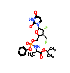 CC(C)OC(=O)[C@H](C)NP(=O)(OC[C@H]1O[C@@H](n2ccc(=O)[nH]c2=O)[C@H](F)[C@@H]1CF)Oc1ccccc1